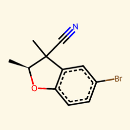 C[C@@H]1Oc2ccc(Br)cc2C1(C)C#N